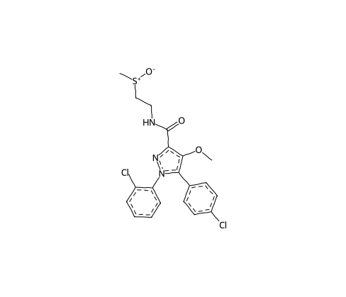 COc1c(C(=O)NCC[S+](C)[O-])nn(-c2ccccc2Cl)c1-c1ccc(Cl)cc1